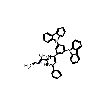 C=C/C=C(\C)C1=NC(c2cc(-n3c4ccccc4c4ccccc43)cc(-n3c4ccccc4c4ccccc43)c2)=CC(c2ccccc2)N1